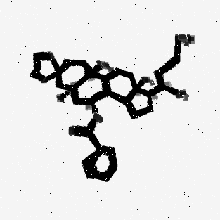 C[C@H](CCC(=O)O)[C@H]1CCC2C3C(CC[C@@]21C)[C@@]1(C)CCC2(C[C@@H]1C[C@H]3OC(=O)c1ccccc1)OCCO2